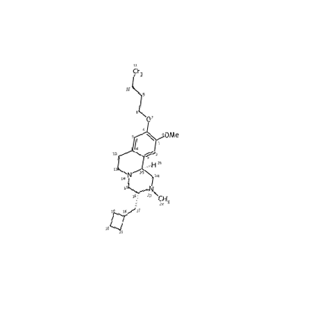 COc1cc2c(cc1OCCCC(F)(F)F)CCN1C[C@@H](CC3CCC3)N(C)C[C@H]21